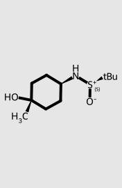 CC(C)(C)[S@@+]([O-])N[C@H]1CC[C@](C)(O)CC1